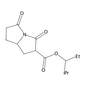 CCC(OC(=O)C1CC2CCC(=O)N2C1=O)C(C)C